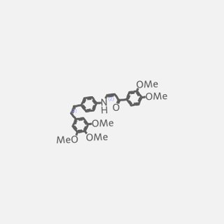 COc1ccc(C(=O)/C=C\Nc2ccc(/C=C\c3cc(OC)c(OC)c(OC)c3)cc2)cc1OC